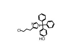 Cl.ClCCCc1cn(C(c2ccccc2)(c2ccccc2)c2ccccc2)cn1